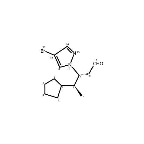 C[C@@H](C1CCCC1)[C@@H](CC=O)n1cc(Br)cn1